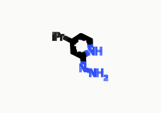 CC(C)c1cc[nH]/c(=N\N)c1